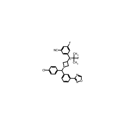 CC(C)(F)[C@H](c1cc(F)cc(C#N)c1)C1CN(C(c2ccc(Cl)cc2)c2cccc(-c3ncon3)c2)C1